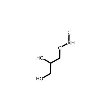 OCC(O)C[O][AlH][Cl]